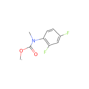 [CH2]OC(=O)N(C)c1ccc(F)cc1F